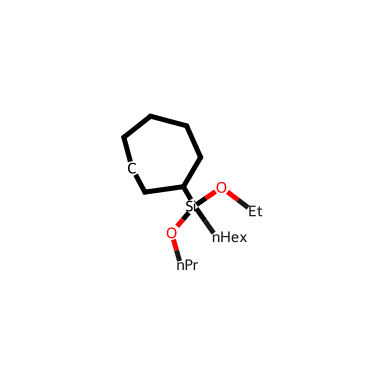 CCCCCC[Si](OCC)(OCCC)C1CCCCCC1